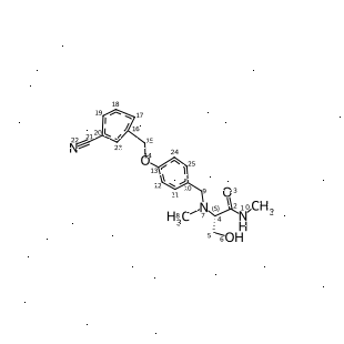 CNC(=O)[C@H](CO)N(C)Cc1ccc(OCc2cccc(C#N)c2)cc1